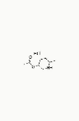 CC(=O)OC1CCC(C)NC1.Cl